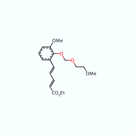 CCOC(=O)C=CC=Cc1cccc(OC)c1OCOCCOC